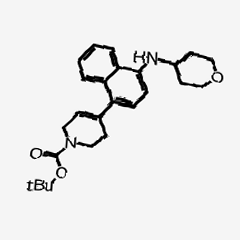 CC(C)(C)OC(=O)N1CC=C(c2ccc(NC3CCOCC3)c3ccccc23)CC1